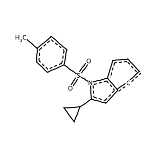 Cc1ccc(S(=O)(=O)n2c(C3CC3)cc3ccccc32)cc1